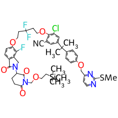 CSc1nccc(COc2ccc(C(C)(C)c3cc(Cl)c(OCCC(F)(F)CCOc4ccc5c(c4F)CN(C4CCC(=O)N(COCC[Si](C)(C)C)C4=O)C5=O)c(C#N)c3)cc2)n1